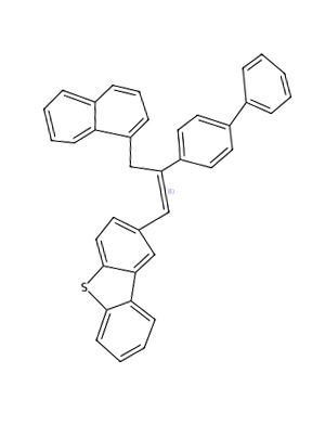 C(=C(/Cc1cccc2ccccc12)c1ccc(-c2ccccc2)cc1)/c1ccc2sc3ccccc3c2c1